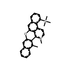 Cc1c2c(cc3ccccc13)Oc1cc3cccc([Si](C)(C)C)c3c3cc[n+](C)c-2c13